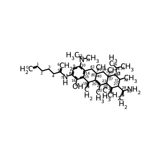 C=CCCCC(=C)Nc1cc(N(C)C)c2c(c1O)C(=C)C1=C(C)[C@]3(C)C(=C)C(C(=C)N)C(C)[C@@H](C(C)C)[C@]3(C)C[C@]1(C)C2